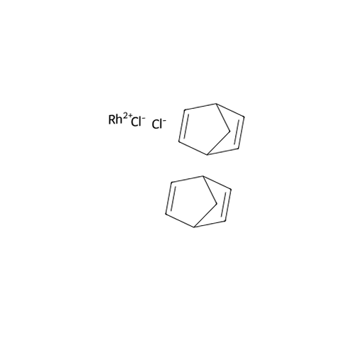 C1=CC2C=CC1C2.C1=CC2C=CC1C2.[Cl-].[Cl-].[Rh+2]